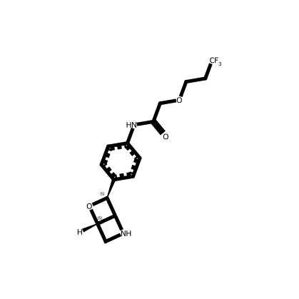 O=C(COCCC(F)(F)F)Nc1ccc([C@@H]2O[C@H]3CNC32)cc1